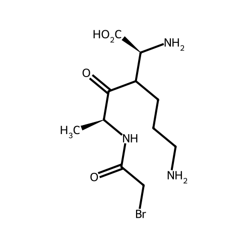 C[C@H](NC(=O)CBr)C(=O)C(CCCN)[C@H](N)C(=O)O